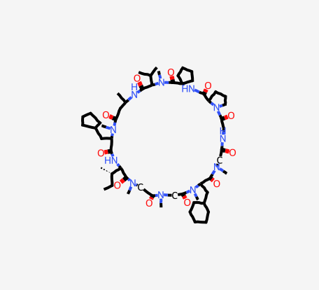 CC[C@H](C)C1NC(=O)C(CC2CCCC2)N(C)C(=O)CC(C)NC(=O)C(C(C)C)N(C)C(=O)C2(CCCC2)NC(=O)C2CCCN2C(=O)CNC(=O)CN(C)C(=O)C(CC2CCCCC2)N(C)C(=O)CN(C)C(=O)CN(C)C1=O